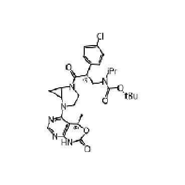 CC(C)N(C[C@@H](C(=O)N1CCN(c2ncnc3c2[C@@H](C)OC(=O)N3)C2CC21)c1ccc(Cl)cc1)C(=O)OC(C)(C)C